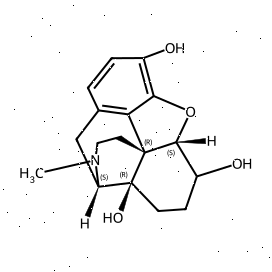 CN1CC[C@@]23c4c5ccc(O)c4O[C@@H]2C(O)CC[C@]3(O)[C@@H]1C5